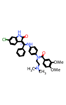 COc1ccc(C(=O)N(CCN(C)C)c2ccc(N/C(=C3\C(=O)Nc4cc(Cl)ccc43)c3ccccc3)cc2)cc1OC